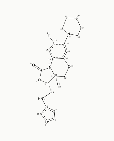 O=C1O[C@@H](CNc2ccon2)[C@@H]2COc3cc(N4CCSCC4)c(F)cc3N12